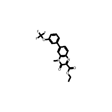 CCOC(=O)c1nc2ccc(-c3cccc(OC(F)(F)F)c3)cc2n(C)c1=O